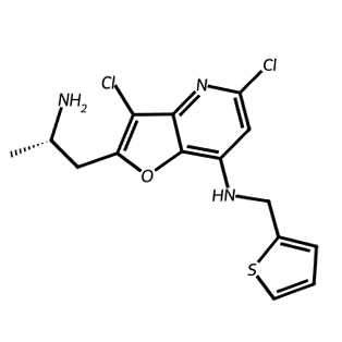 C[C@H](N)Cc1oc2c(NCc3cccs3)cc(Cl)nc2c1Cl